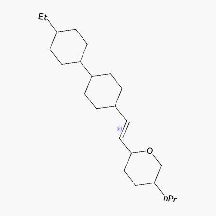 CCCC1CCC(/C=C/C2CCC(C3CCC(CC)CC3)CC2)OC1